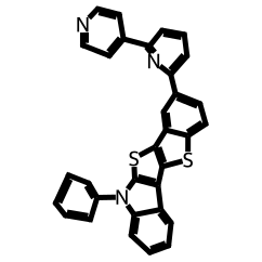 c1ccc(-n2c3ccccc3c3c4sc5ccc(-c6cccc(-c7ccncc7)n6)cc5c4sc32)cc1